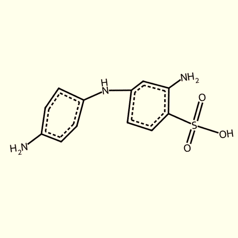 Nc1ccc(Nc2ccc(S(=O)(=O)O)c(N)c2)cc1